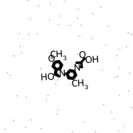 COc1ccc2c(c1)c(O)cn2-c1cc(C)cc(N2CC(C(=O)O)C2)c1